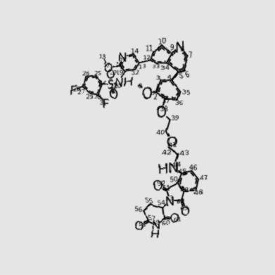 COc1cc(-c2ccnc3ccc(-c4cnc(OC)c(NS(=O)(=O)c5ccc(F)cc5F)c4)cc23)ccc1OCCOCCNc1cccc2c1C(=O)N(C1CCC(=O)NC1=O)C2=O